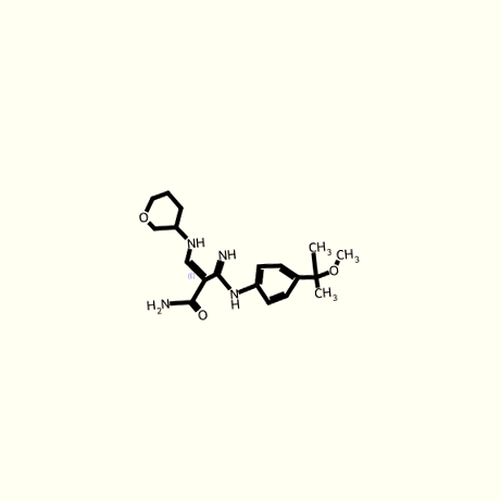 COC(C)(C)c1ccc(NC(=N)/C(=C\NC2CCCOC2)C(N)=O)cc1